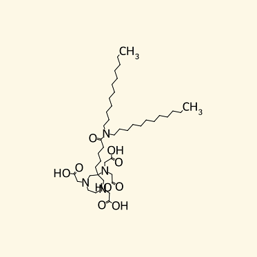 CCCCCCCCCCCCN(CCCCCCCCCCCC)C(=O)CCCCC1(N(CC(=O)O)CC(=O)O)CN(CC(=O)O)CCN(CC(=O)O)C1